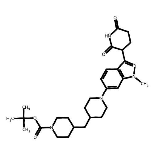 Cn1nc(C2CCC(=O)NC2=O)c2ccc(N3CCC(CC4CCN(C(=O)OC(C)(C)C)CC4)CC3)cc21